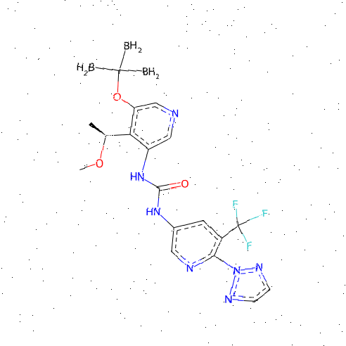 BC(B)(B)Oc1cncc(NC(=O)Nc2cnc(-n3nccn3)c(C(F)(F)F)c2)c1[C@H](C)OC